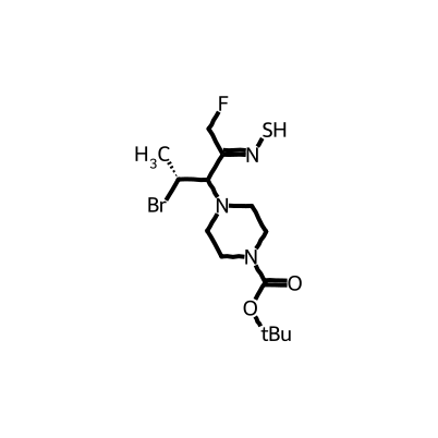 C[C@@H](Br)C(C(CF)=NS)N1CCN(C(=O)OC(C)(C)C)CC1